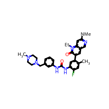 CCn1c(=O)c(-c2cc(NC(=O)Nc3cccc(CN4CCN(C)CC4)c3)c(F)cc2C)cc2cnc(NC)cc21